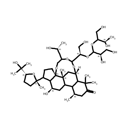 C[C@@H]1CC(=O)C(C)(C)C2C1C1C[C@@H](O)C3C([C@]4(C)CC[C@H](C(C)(C)O)O4)CC[C@]34OCC([C@@H](C)O)OC([C@@H](CO)OC(OC(CO)[C@@H](C)O)[C@H](O)CO)O[C@H]2C[C@]14C